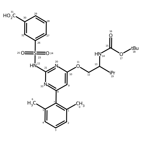 Cc1cccc(C)c1-c1cc(OCC(NC(=O)OC(C)(C)C)C(C)C)nc(NS(=O)(=O)c2cccc(C(=O)O)c2)n1